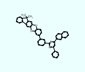 CC1(C)c2ccccc2-c2cc3c(cc21)Oc1ccc(-c2cccc(-c4nc(-c5ccccc5)cc(-c5ccc6ccccc6c5)n4)c2)cc1O3